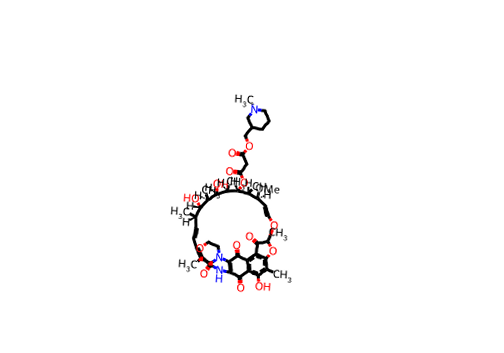 CO[C@H]1/C=C/O[C@@]2(C)Oc3c(C)c(O)c4c(c3C2=O)C(=O)C(N2CCOCC2)=C(NC(=O)/C(C)=C\C=C\[C@H](C)[C@H](O)[C@@H](C)[C@@H](O)[C@@H](C)[C@H](OC(=O)CC(=O)OCC2CCCN(C)C2)[C@@H]1C)C4=O